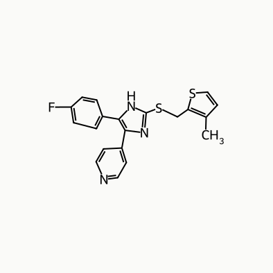 Cc1ccsc1CSc1nc(-c2ccncc2)c(-c2ccc(F)cc2)[nH]1